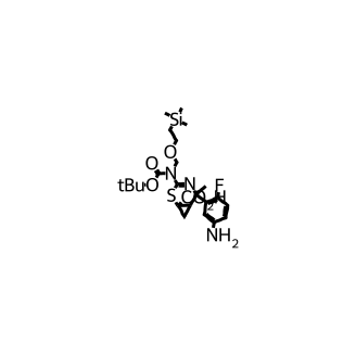 CC(C)(C)OC(=O)N(COCC[Si](C)(C)C)C1=NC(C)(c2cc(N)ccc2F)C2CC2(C(=O)O)S1